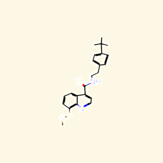 CSSc1cccc2c(C(=O)NCCc3ccc(C(C)(C)C)cc3)ccnc12